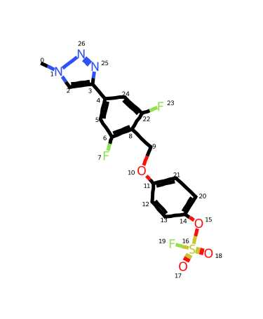 Cn1cc(-c2cc(F)c(COc3ccc(OS(=O)(=O)F)cc3)c(F)c2)nn1